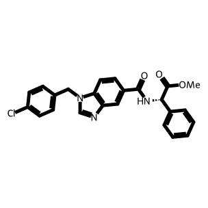 COC(=O)[C@@H](NC(=O)c1ccc2c(c1)ncn2Cc1ccc(Cl)cc1)c1ccccc1